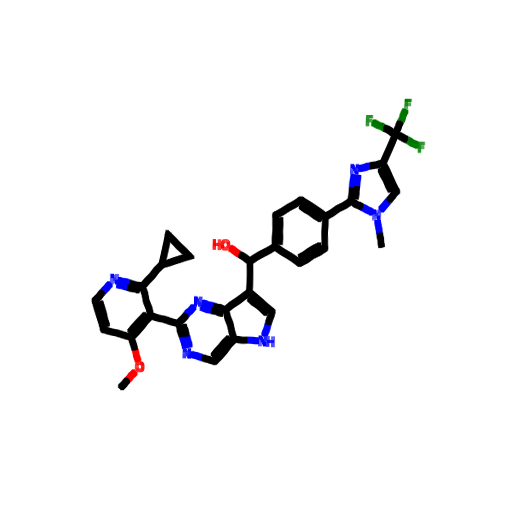 COc1ccnc(C2CC2)c1-c1ncc2[nH]cc(C(O)c3ccc(-c4nc(C(F)(F)F)cn4C)cc3)c2n1